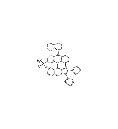 CC(C)(C)c1ccc2c(c1)B1c3c(cccc3-n3c(-c4ccccc4)c(-c4ccccc4)c4cc5c(c1c43)CCC=C5)N2c1cccc2ccccc12